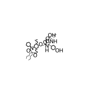 CCCCC1(CCCC)C(=O)Sc2cc(OCC(=O)N[C@@H](C(=O)N[C@@H](CC(C)C)C(=O)O)c3ccc(O)cc3)c(SC)cc2N(c2ccccc2)C1=O